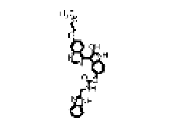 COCCOc1ccc2c(-c3c(O)[nH]c4ccc(OC(=O)NCc5nc6ccccc6[nH]5)cc34)ncnc2c1